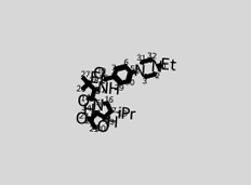 CCN1CCN(c2ccc(C(=O)NC(C(=O)N3C[C@H](C(C)C)[C@H]4OCC(=O)[C@H]43)C(C)(C)CC)cc2)CC1